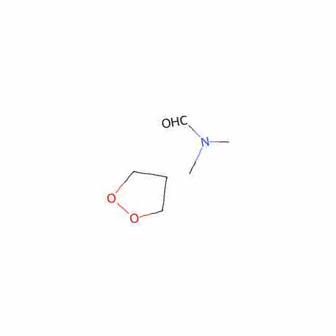 C1COOC1.CN(C)C=O